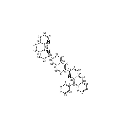 c1ccc(-c2c3ccccc3cc3ccc(-c4ccc5cc(-c6ccc7ccc8cccnc8c7n6)ccc5c4)nc23)cc1